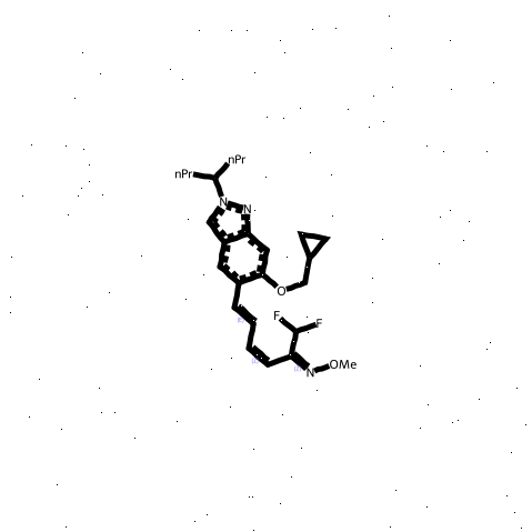 CCCC(CCC)n1cc2cc(/C=C/C=C\C(=N\OC)C(F)F)c(OCC3CC3)cc2n1